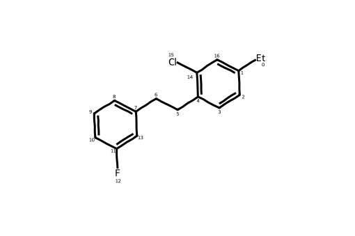 CCc1ccc(CCc2cccc(F)c2)c(Cl)c1